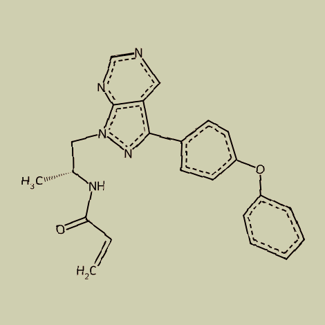 C=CC(=O)N[C@H](C)Cn1nc(-c2ccc(Oc3ccccc3)cc2)c2cncnc21